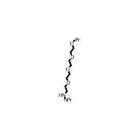 CCCNCCOCCOCCOCCOC(C)C